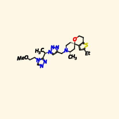 CCc1cc2c(s1)CCO[C@@]21CCN(Cc2cn(C(C)c3nncn3CCOC)nn2)[C@@H](C)C1